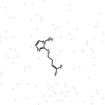 CC(C)n1ccnc1SCCC=C(F)F